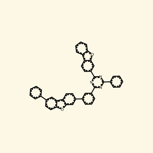 c1ccc(-c2ccc3oc4cc(-c5cccc(-c6nc(-c7ccccc7)nc(-c7ccc8c(c7)oc7ccccc78)n6)c5)ccc4c3c2)cc1